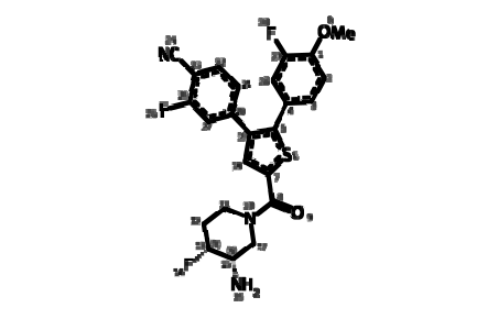 COc1ccc(-c2sc(C(=O)N3CC[C@@H](F)[C@@H](N)C3)cc2-c2ccc(C#N)c(F)c2)cc1F